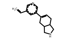 C=Cc1cncc(C2=CCC3CNCC3C2)c1